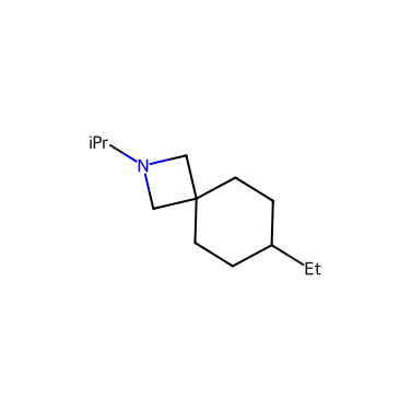 CCC1CCC2(CC1)CN(C(C)C)C2